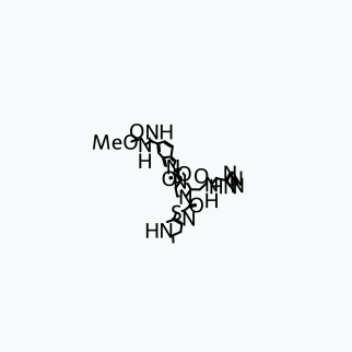 COC(=O)NC(=N)c1ccc2cn(S(=O)(=O)N3CCN(C(=O)c4nc5c(s4)CNC(C)C5)C(CC(=O)NCc4nnn[nH]4)C3)cc2c1